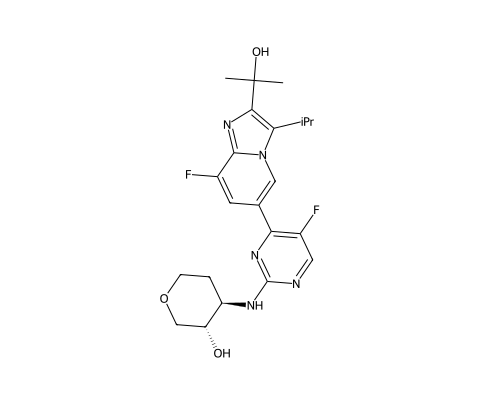 CC(C)c1c(C(C)(C)O)nc2c(F)cc(-c3nc(N[C@@H]4CCOC[C@H]4O)ncc3F)cn12